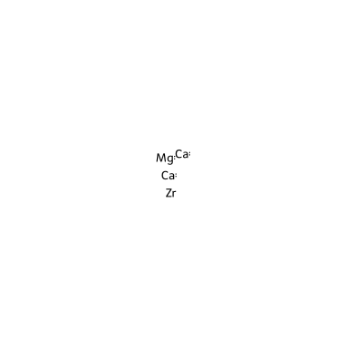 [Ca].[Ca].[Mg].[Zr]